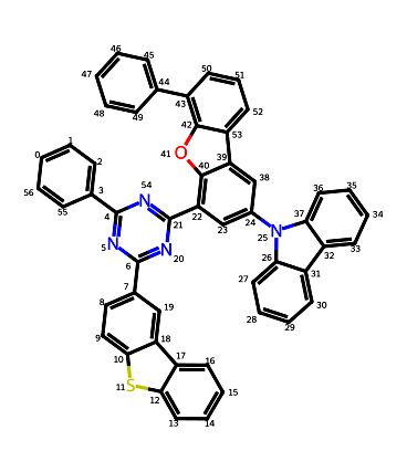 c1ccc(-c2nc(-c3ccc4sc5ccccc5c4c3)nc(-c3cc(-n4c5ccccc5c5ccccc54)cc4c3oc3c(-c5ccccc5)cccc34)n2)cc1